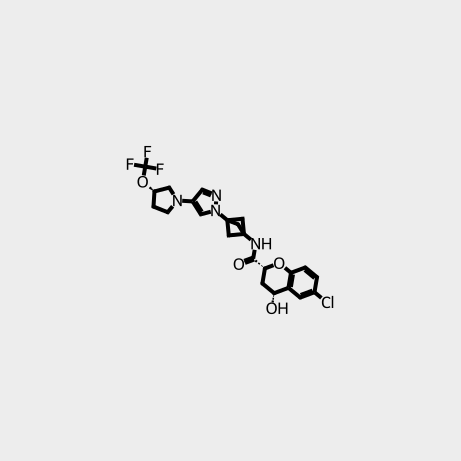 O=C(NC12CC(n3cc(N4CC[C@H](OC(F)(F)F)C4)cn3)(C1)C2)[C@H]1C[C@@H](O)c2cc(Cl)ccc2O1